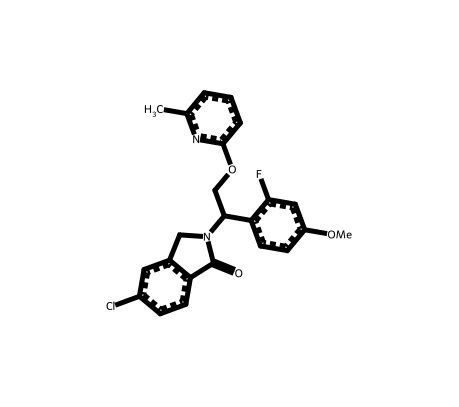 COc1ccc(C(COc2cccc(C)n2)N2Cc3cc(Cl)ccc3C2=O)c(F)c1